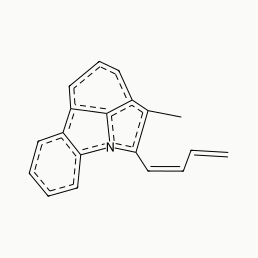 C=C/C=C\c1c(C)c2cccc3c4ccccc4n1c23